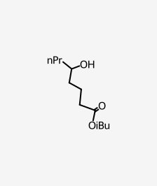 CCCC(O)CCCC(=O)OCC(C)C